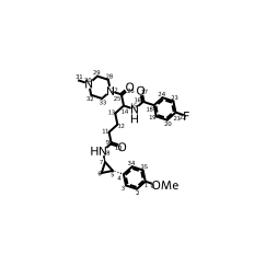 COc1ccc([C@@H]2C[C@H]2NC(=O)CCCC(NC(=O)c2ccc(F)cc2)C(=O)N2CCN(C)CC2)cc1